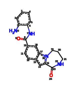 Nc1ccccc1NC(=O)c1ccc2cc3n(c2c1)CCCNC3=O